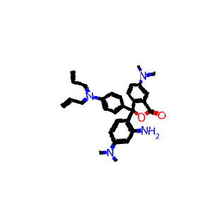 C=CCN(CC=C)c1ccc(C2(c3ccc(N(C)C)cc3N)OC(=O)c3cc(N(C)C)ccc32)cc1